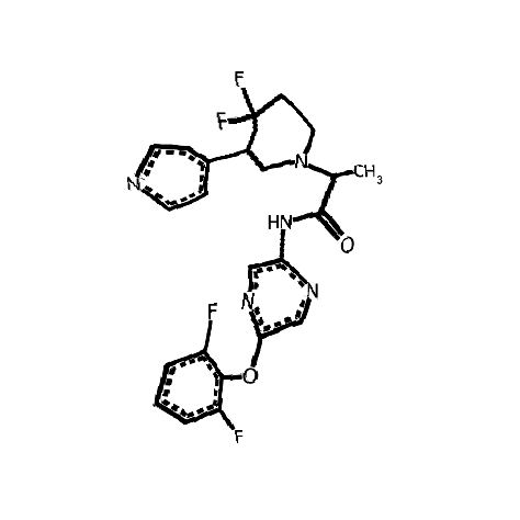 CC(C(=O)Nc1cnc(Oc2c(F)cccc2F)cn1)N1CCC(F)(F)C(c2ccncc2)C1